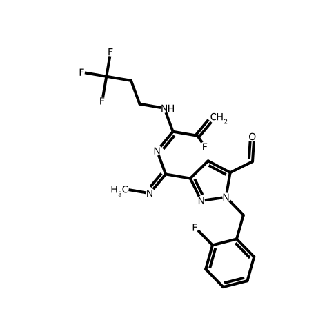 C=C(F)/C(=N\C(=N/C)c1cc(C=O)n(Cc2ccccc2F)n1)NCCC(F)(F)F